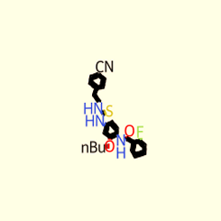 CCCCOc1cc(NC(=S)NCCc2ccc(C#N)cc2)ccc1NC(=O)c1ccccc1F